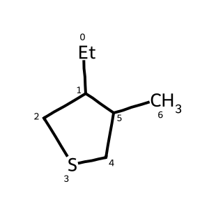 CCC1CSCC1C